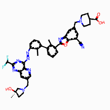 Cc1c(N=Nc2nc(C(F)F)nc3cc(CN4CC[C@@](C)(O)C4)cnc23)cccc1-c1cccc(-c2nc3cc(CN4CCC(C(=O)O)CC4)cc(C#N)c3o2)c1C